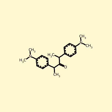 CC(C(=O)C(C)c1ccc(N(C)C)cc1)c1ccc(N(C)C)cc1